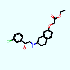 CCOC(=O)COc1ccc2c(c1)CC(NC[C@@H](O)c1cccc(Cl)c1)CC2